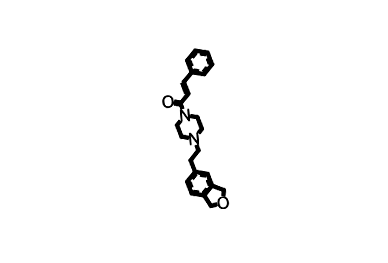 O=C(C=Cc1ccccc1)N1CCN(CCc2ccc3c(c2)COC3)CC1